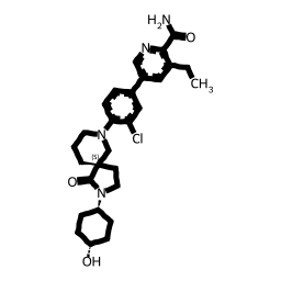 CCc1cc(-c2ccc(N3CCC[C@]4(CCN([C@H]5CC[C@@H](O)CC5)C4=O)C3)c(Cl)c2)cnc1C(N)=O